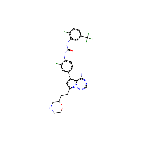 Nc1ncnn2c(CCC3CNCCO3)cc(-c3ccc(NC(=O)Nc4cc(C(F)(F)F)ccc4F)c(F)c3)c12